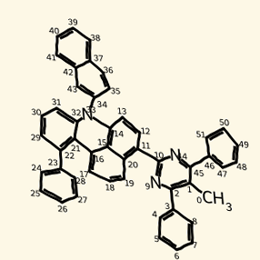 Cc1c(-c2ccccc2)nc(-c2ccc3c4c(cccc24)-c2c(-c4ccccc4)cccc2N3c2ccc3ccccc3c2)nc1-c1ccccc1